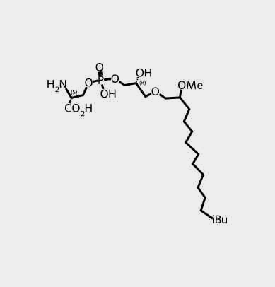 CCC(C)CCCCCCCCCCC(COC[C@@H](O)COP(=O)(O)OC[C@H](N)C(=O)O)OC